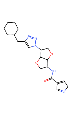 O=C(NC1COC2C1OCC2n1cc(CC2CCCCC2)nn1)C1=CCN=C1